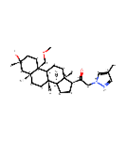 COC[C@]12CC[C@@](C)(O)C[C@H]1CC[C@@H]1C2CC[C@]2(C)[C@@H](C(=O)Cn3cc(C)cn3)CC[C@@H]12